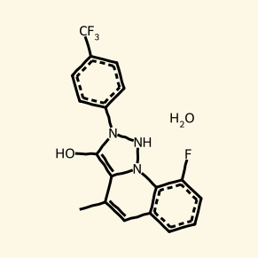 CC1=Cc2cccc(F)c2N2NN(c3ccc(C(F)(F)F)cc3)C(O)=C12.O